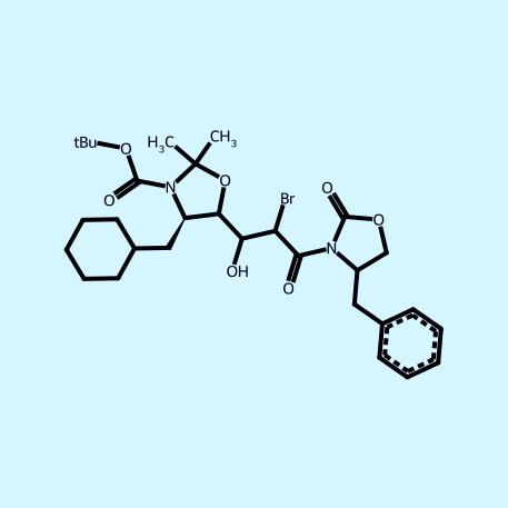 CC(C)(C)OC(=O)N1[C@H](CC2CCCCC2)C(C(O)C(Br)C(=O)N2C(=O)OCC2Cc2ccccc2)OC1(C)C